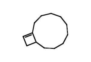 C1=C2CCCCCCCCCC2C1